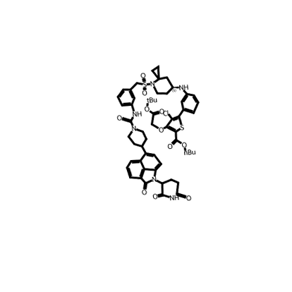 CCCCOC(=O)c1sc(-c2cccc(N[C@H]3CCN(S(=O)(=O)Cc4cccc(NC(=O)N5CCC(c6ccc7c8c(cccc68)C(=O)N7C6CCC(=O)NC6=O)CC5)c4)C4(CC4)C3)c2)c(Cl)c1OCC(=O)OC(C)(C)C